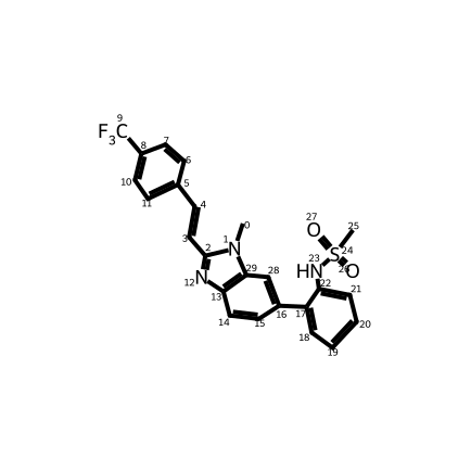 Cn1c(C=Cc2ccc(C(F)(F)F)cc2)nc2ccc(-c3ccccc3NS(C)(=O)=O)cc21